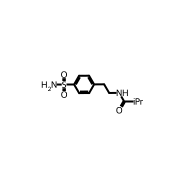 CC(C)C(=O)NCCc1ccc(S(N)(=O)=O)cc1